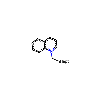 CCCCCCCC[n+]1cccc2ccccc21